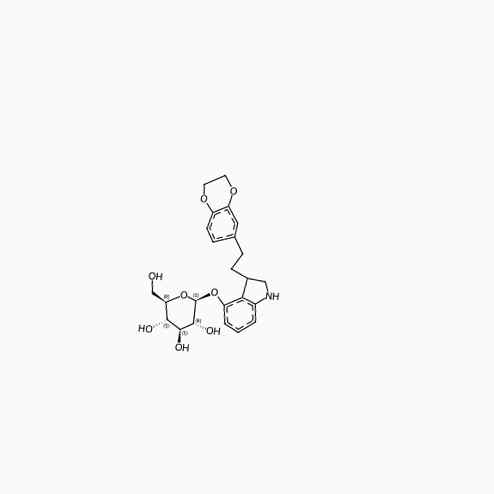 OC[C@H]1O[C@@H](Oc2cccc3c2C(CCc2ccc4c(c2)OCCO4)CN3)[C@H](O)[C@@H](O)[C@@H]1O